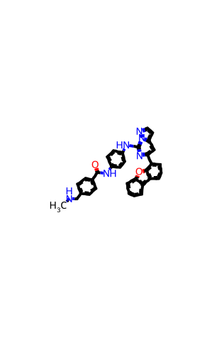 CNCc1ccc(C(=O)Nc2ccc(Nc3nc(-c4cccc5c4oc4ccccc45)cc4ccnn34)cc2)cc1